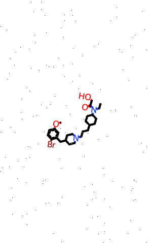 CCN(C(=O)CO)C1CCC(CCCN2CCC(Cc3cc(OC)ccc3Br)CC2)CC1